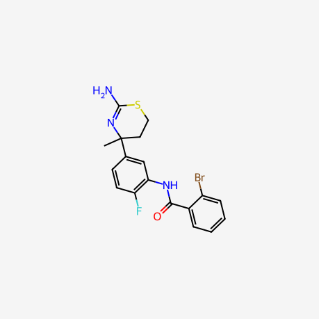 CC1(c2ccc(F)c(NC(=O)c3ccccc3Br)c2)CCSC(N)=N1